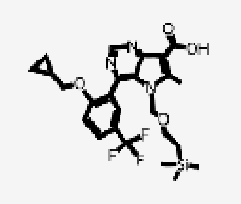 Cc1c(C(=O)O)c2ncnc(-c3cc(C(F)(F)F)ccc3OCC3CC3)c2n1COCC[Si](C)(C)C